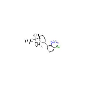 CC(C)(C)c1cccc(-c2cccc(Br)c2N)c1